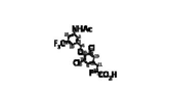 CC(=O)Nc1cc(COc2c(Cl)cc(CC(F)C(=O)O)cc2Cl)cc(C(F)(F)F)c1